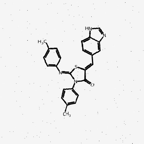 Cc1ccc(N=C2SC(=Cc3ccc4[nH]cnc4c3)C(=O)N2c2ccc(C)cc2)cc1